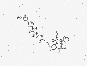 C=CCOC(=O)N1c2cc(OCCCC(=O)Nc3cn(C)c(C(=O)Nc4ccc(-c5cc(C(C)=O)n(C)c5)cc4)n3)c(C)cc2C(=O)N2CCCC[C@H]2C1OC1CCCCO1